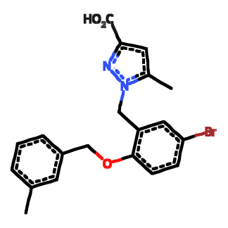 Cc1cccc(COc2ccc(Br)cc2Cn2nc(C(=O)O)cc2C)c1